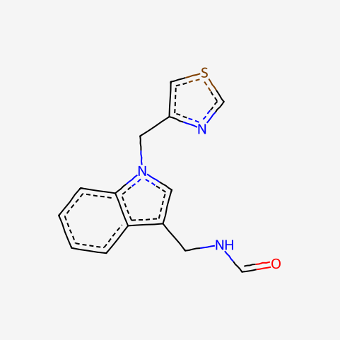 O=CNCc1cn(Cc2cscn2)c2ccccc12